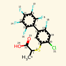 CC(Sc1cc(-c2c(F)c(F)c(F)c(F)c2F)c(F)cc1Cl)C(=O)O